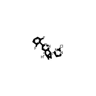 CC1(C)[C@H]2CC[C@]1(c1ccnc(Cl)n1)c1nnc(-c3c(F)cccc3F)cc12